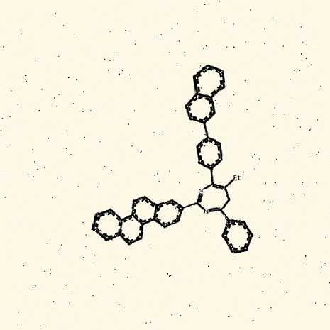 CCC1=C(c2ccc(-c3ccc4ccccc4c3)cc2)N=C(c2ccc3c(ccc4c5ccccc5ccc34)c2)N=C(c2ccccc2)C1